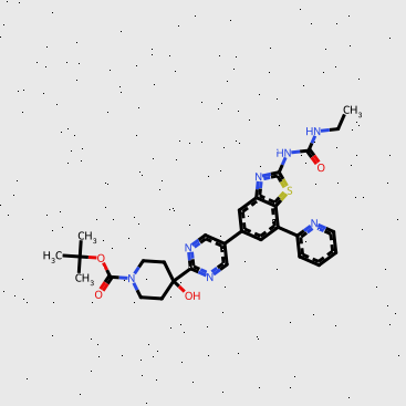 CCNC(=O)Nc1nc2cc(-c3cnc(C4(O)CCN(C(=O)OC(C)(C)C)CC4)nc3)cc(-c3ccccn3)c2s1